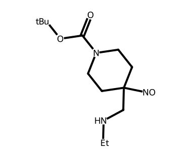 CCNCC1(N=O)CCN(C(=O)OC(C)(C)C)CC1